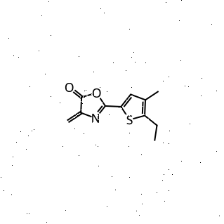 C=C1N=C(c2cc(C)c(CC)s2)OC1=O